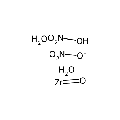 O.O.O=[N+]([O-])O.O=[N+]([O-])[O-].[O]=[Zr]